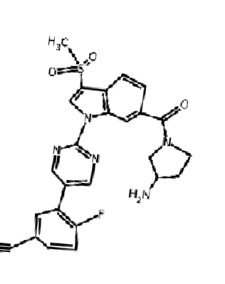 CS(=O)(=O)c1cn(-c2ncc(-c3cc(C#N)ccc3F)cn2)c2cc(C(=O)N3CCC(N)C3)ccc12